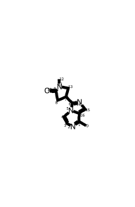 Cc1nccn2c(C3CC(=O)N(C)C3)ncc12